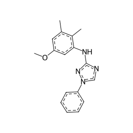 COc1cc(C)c(C)c(Nc2ncn(-c3ccccc3)n2)c1